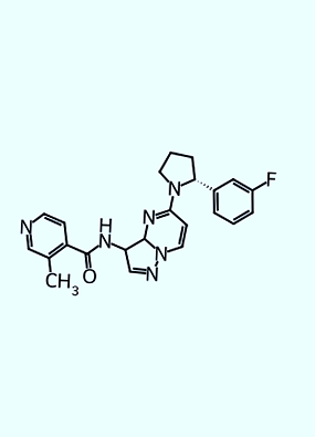 Cc1cnccc1C(=O)NC1C=NN2C=CC(N3CCC[C@@H]3c3cccc(F)c3)=NC12